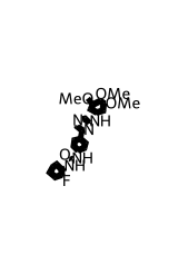 COc1cc(Nc2cncc(-c3ccc(NC(=O)Nc4ccccc4F)cc3)n2)cc(OC)c1OC